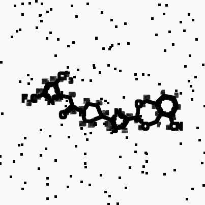 N#Cc1cccc2c1COC(c1csc(C3CCN(C(=O)Cn4nc(C(F)(F)F)cc4C(F)(F)F)CC3)n1)OC2